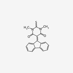 CN1C(=O)C(=C2c3ccccc3-c3ccccc32)C(=O)N(C)C1=S